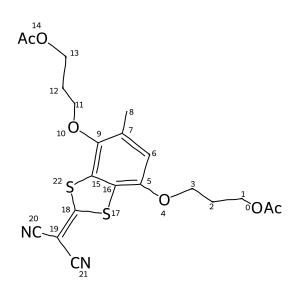 CC(=O)OCCCOc1cc(C)c(OCCCOC(C)=O)c2c1SC(=C(C#N)C#N)S2